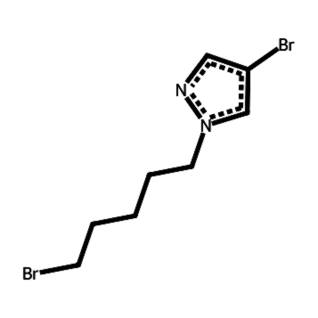 BrCCCCCn1cc(Br)cn1